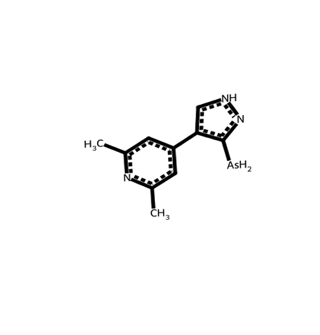 Cc1cc(-c2c[nH]nc2[AsH2])cc(C)n1